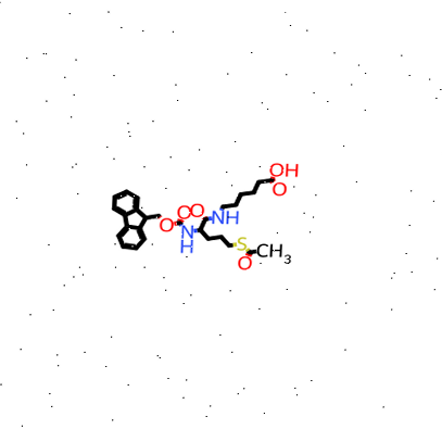 CC(=O)SCCCC(NC(=O)OCC1c2ccccc2-c2ccccc21)C(=O)NCCCCCC(=O)O